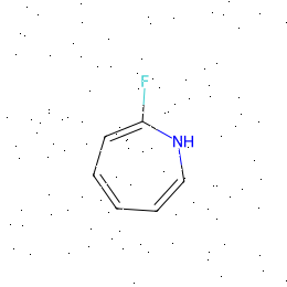 FC1=CC=CC=CN1